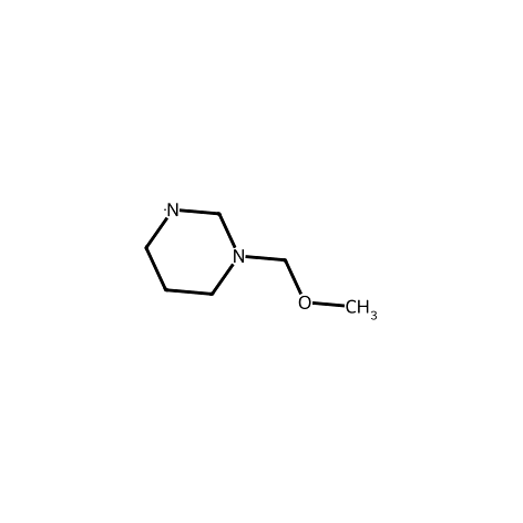 COCN1CCC[N]C1